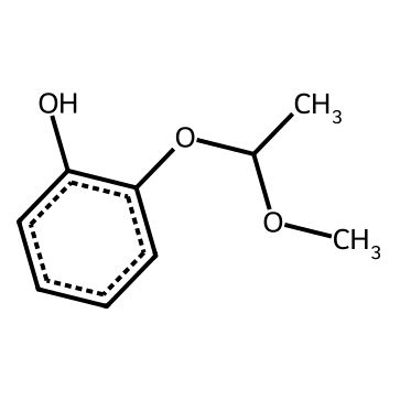 COC(C)Oc1ccccc1O